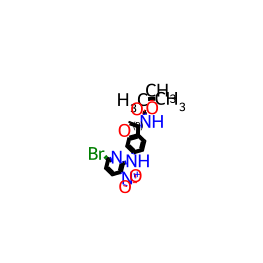 CC(C)(C)OC(=O)N[C@H]1COc2cc(Nc3nc(Br)ccc3[N+](=O)[O-])ccc21